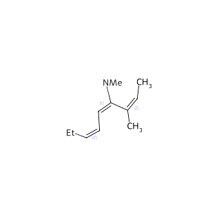 C\C=C(C)/C(=C\C=C/CC)NC